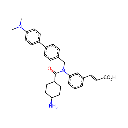 CN(C)c1ccc(-c2ccc(CN(c3cccc(C=CC(=O)O)c3)C(=O)[C@H]3CC[C@H](N)CC3)cc2)cc1